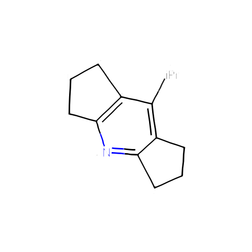 CC(C)c1c2c(nc3c1CCC3)CCC2